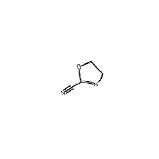 N#CC1=NC[CH]O1